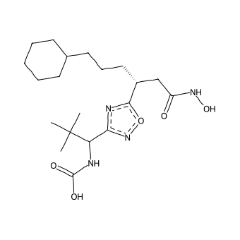 CC(C)(C)C(NC(=O)O)c1noc([C@H](CCCC2CCCCC2)CC(=O)NO)n1